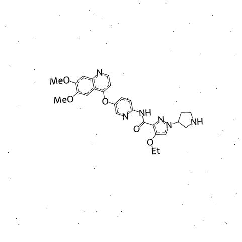 CCOc1cn(C2CCNC2)nc1C(=O)Nc1ccc(Oc2ccnc3cc(OC)c(OC)cc23)cn1